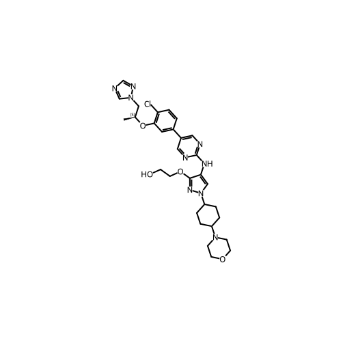 C[C@@H](Cn1cncn1)Oc1cc(-c2cnc(Nc3cn(C4CCC(N5CCOCC5)CC4)nc3OCCO)nc2)ccc1Cl